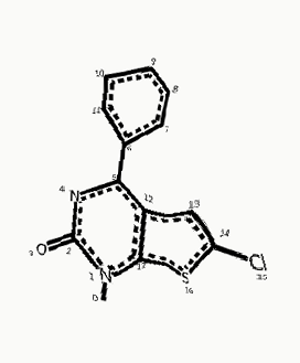 Cn1c(=O)nc(-c2ccccc2)c2cc(Cl)sc21